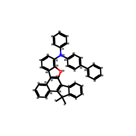 CC1(C)c2ccccc2-c2c1c1ccccc1c1c2oc2c(N(c3ccccc3)c3ccc(-c4ccccc4)cc3)cccc21